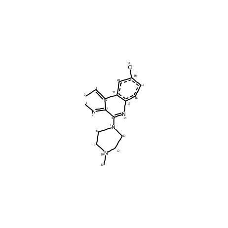 C/C=C1\C(=N/C)C(N2CCN(C)CC2)=Nc2ccc(Cl)cc21